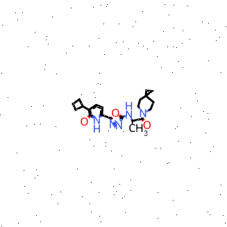 C[C@@H](Nc1nnc(-c2ccc(C3CCC3)c(=O)[nH]2)o1)C(=O)N1CCC2(CC1)CC2